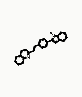 Cn1c(-c2ccc(/C=C/c3ccc4ccccc4n3)cc2)cc2ccccc21